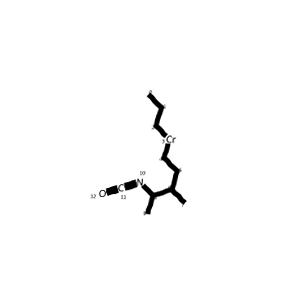 CC[CH2][Cr][CH2]CC(C)C(C)N=C=O